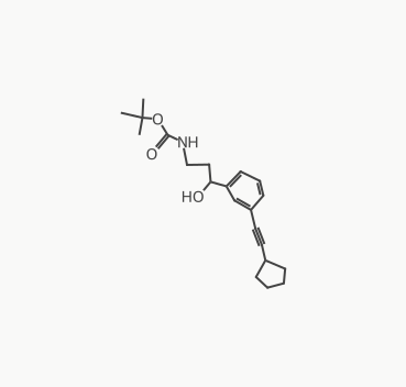 CC(C)(C)OC(=O)NCCC(O)c1cccc(C#CC2CCCC2)c1